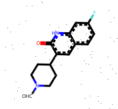 O=CN1CCC(c2cc3ccc(F)cc3[nH]c2=O)CC1